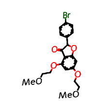 COCCOc1cc(OCCOC)c2c(c1)OC(c1ccc(Br)cc1)C2=O